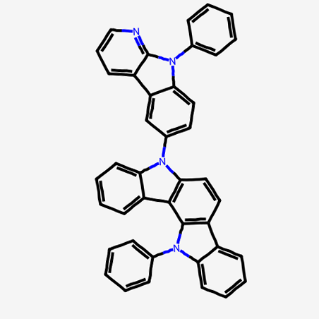 c1ccc(-n2c3ccc(-n4c5ccccc5c5c4ccc4c6ccccc6n(-c6ccccc6)c45)cc3c3cccnc32)cc1